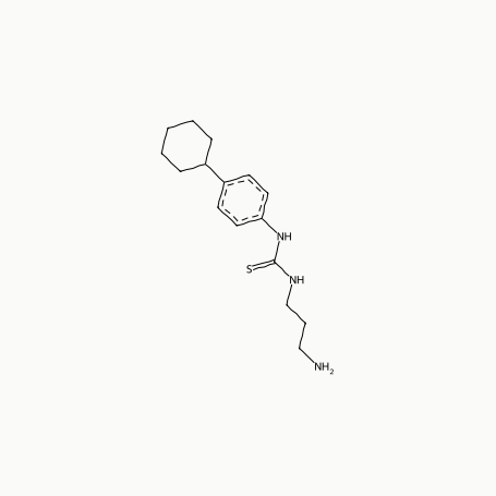 NCCCNC(=S)Nc1ccc(C2CCCCC2)cc1